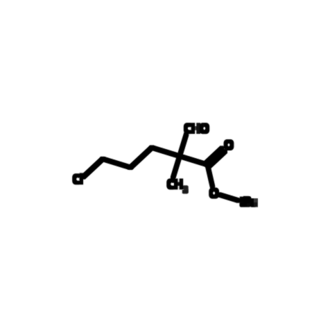 CC(C)(C)OC(=O)C(C)(C=O)CCCCl